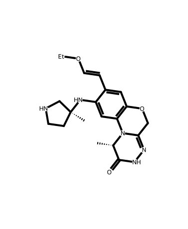 CCO/C=C/c1cc2c(cc1N[C@@]1(C)CCNC1)N1C(=NNC(=O)[C@@H]1C)CO2